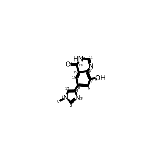 Cn1cnc(-c2cc(O)c3nc[nH]c(=O)c3c2)c1